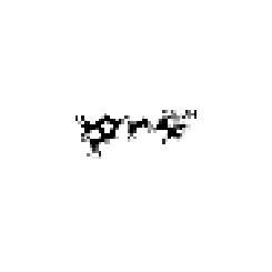 CC1OC(=O)C2CC(OC(=O)COC(=O)C(F)(F)S(=O)(=O)O)CC12